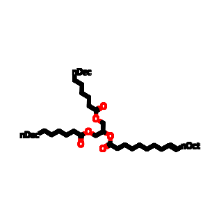 CCCCCCCCC=CCCCCCCCC(=O)OC(COC(=O)CCCCCCCCCCCCCCC)COC(=O)CCCCCCCCCCCCCCC